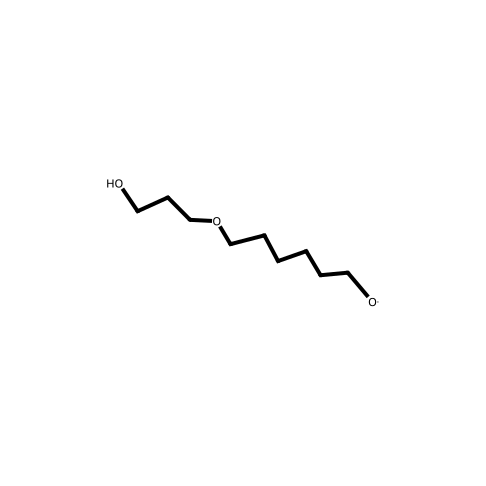 [O]CCCCCCOCCCO